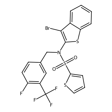 O=S(=O)(c1cccs1)N(Cc1ccc(F)c(C(F)(F)F)c1)c1sc2ccccc2c1Br